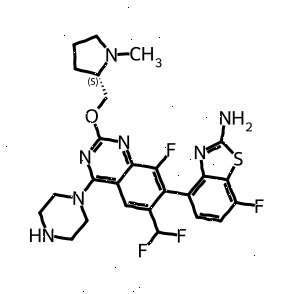 CN1CCC[C@H]1COc1nc(N2CCNCC2)c2cc(C(F)F)c(-c3ccc(F)c4sc(N)nc34)c(F)c2n1